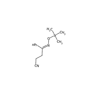 CCC/C(CCC#N)=N\O[Si](C)(C)C